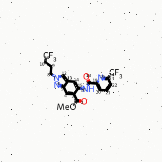 COC(=O)c1cc2nn(CCCC(F)(F)F)cc2cc1NC(=O)c1cccc(C(F)(F)F)n1